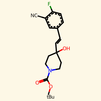 CC(C)(C)OC(=O)N1CCC(O)(C=Cc2ccc(F)c(C#N)c2)CC1